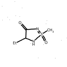 CCC1NS(C)(=O)=NC1=O